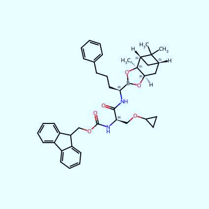 CC1(C)[C@@H]2C[C@H]3OB([C@H](CCCc4ccccc4)NC(=O)[C@@H](COC4CC4)NC(=O)OCC4c5ccccc5-c5ccccc54)O[C@@]3(C)[C@H]1C2